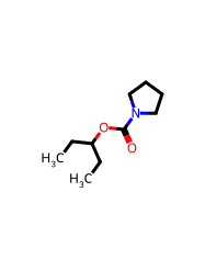 CCC(CC)OC(=O)N1CCCC1